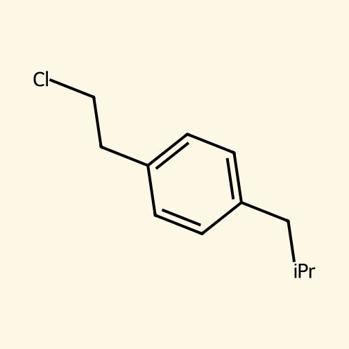 CC(C)Cc1ccc(CCCl)cc1